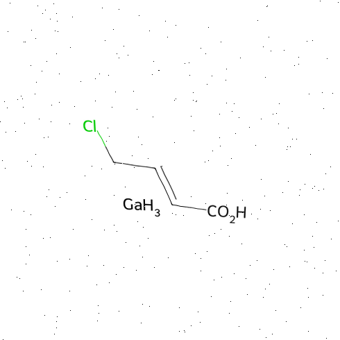 O=C(O)/C=C/CCl.[GaH3]